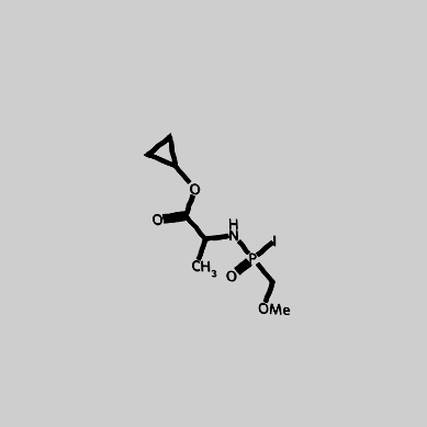 COCP(=O)(I)NC(C)C(=O)OC1CC1